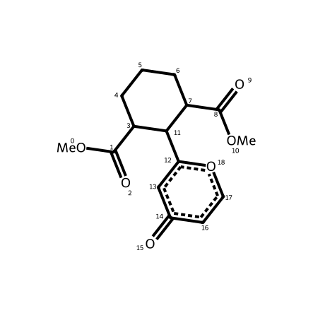 COC(=O)C1CCCC(C(=O)OC)C1c1cc(=O)cco1